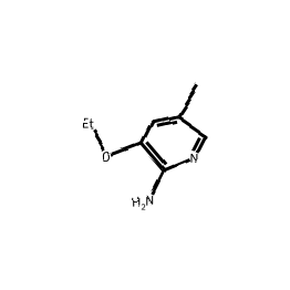 CCOc1cc(C)cnc1N